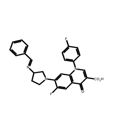 O=C(O)c1cn(-c2ccc(F)cc2)c2cc(N3CCC(N=Cc4ccccc4)C3)c(F)cc2c1=O